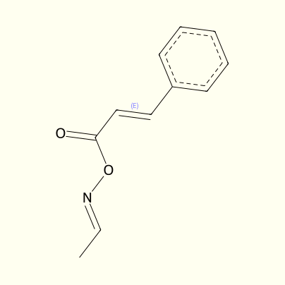 CC=NOC(=O)/C=C/c1ccccc1